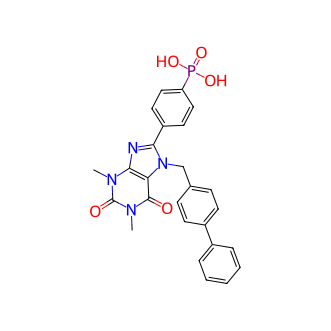 Cn1c(=O)c2c(nc(-c3ccc(P(=O)(O)O)cc3)n2Cc2ccc(-c3ccccc3)cc2)n(C)c1=O